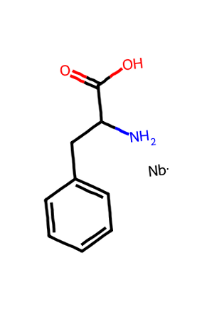 NC(Cc1ccccc1)C(=O)O.[Nb]